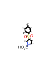 Cc1ccc(S(=O)(=O)C2CCN(C(=O)O)C2)cc1